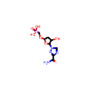 NC(=O)c1ncn(C2OC(OCP(=O)(O)O)CC2O)n1